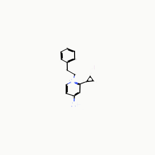 Nc1cc[n+](CCc2ccccc2)c(C2CC2)c1.[I-]